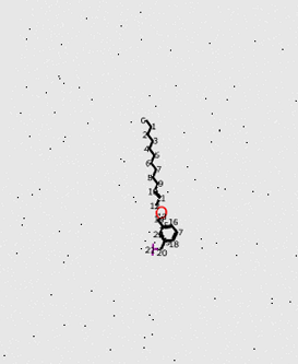 CCCCCCCCCCC=CCOCc1cccc(CI)c1